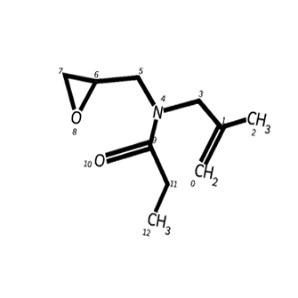 C=C(C)CN(CC1CO1)C(=O)CC